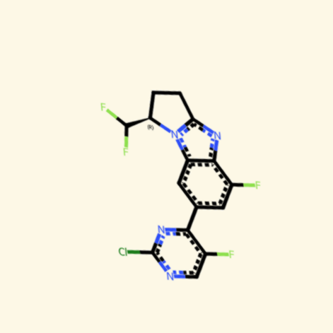 Fc1cnc(Cl)nc1-c1cc(F)c2nc3n(c2c1)[C@@H](C(F)F)CC3